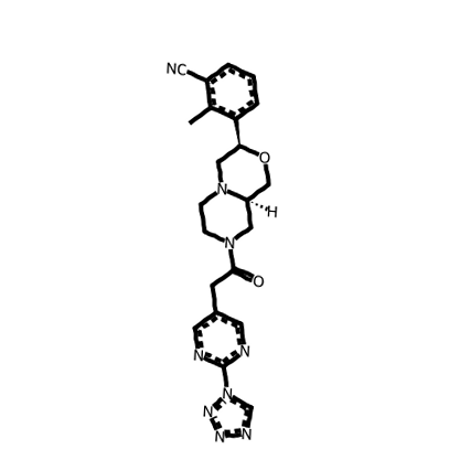 Cc1c(C#N)cccc1[C@@H]1CN2CCN(C(=O)Cc3cnc(-n4cnnn4)nc3)C[C@@H]2CO1